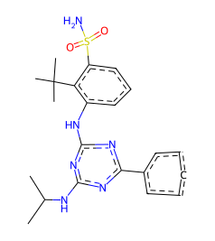 CC(C)Nc1nc(Nc2cccc(S(N)(=O)=O)c2C(C)(C)C)nc(-c2ccccc2)n1